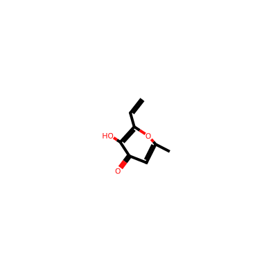 C=Cc1oc(C)cc(=O)c1O